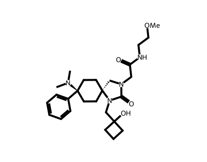 COCCNC(=O)CN1C[C@]2(CC[C@](c3ccccc3)(N(C)C)CC2)N(CC2(O)CCC2)C1=O